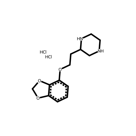 Cl.Cl.c1cc(OCCC2CNCCN2)c2c(c1)OCO2